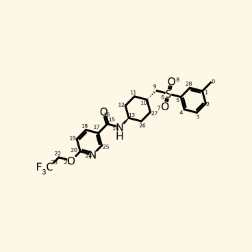 Cc1cccc(S(=O)(=O)C[C@H]2CC[C@H](NC(=O)c3ccc(OCC(F)(F)F)nc3)CC2)c1